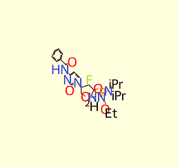 [2H]CC1OCC(n2ccc(NC(=O)c3ccccc3)nc2=O)C(F)C1OP(NCOCC)N(C(C)C)C(C)C